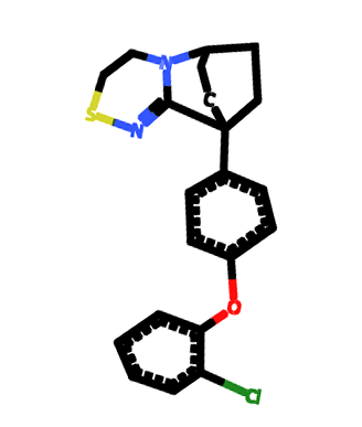 Clc1ccccc1Oc1ccc(C23CCC(CC2)N2CCSN=C23)cc1